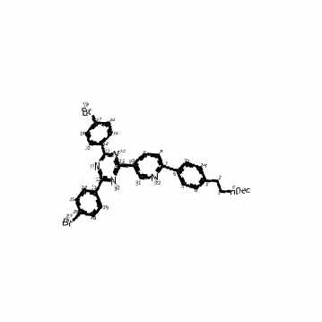 CCCCCCCCCCCCc1ccc(-c2ccc(-c3nc(-c4ccc(Br)cc4)nc(-c4ccc(Br)cc4)n3)cn2)cc1